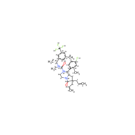 C=CCC1(CC=C)CC2[C@H](c3ccc(F)cc3C)N(C(=O)N(C)[C@H](C)c3cc(C)cc(C(F)(F)F)c3)CCN2C1=O